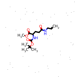 C=CCNC(=O)CCC(NC(=O)OC(C)(C)C)C(=O)OC